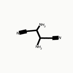 N#CC(N)C(N)C#N